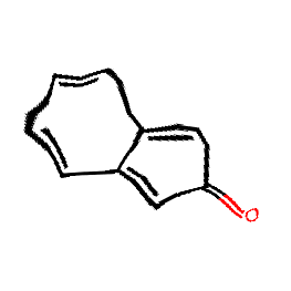 O=C1C=c2ccccc2=C1